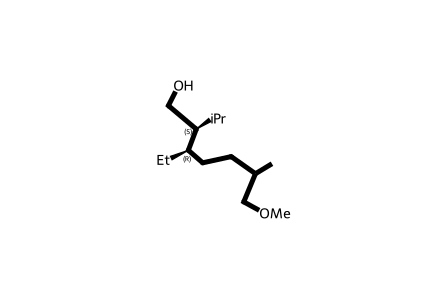 CC[C@H](CCC(C)COC)[C@@H](CO)C(C)C